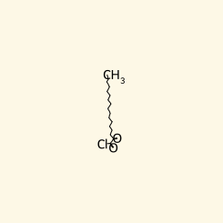 CCCCCCCCCCCCCCCC(=O)C(=O)Cl